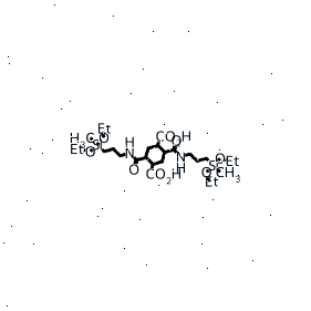 CCO[Si](C)(CCCNC(=O)C1CC(C(=O)O)C(C(=O)NCCC[Si](C)(OCC)OCC)CC1C(=O)O)OCC